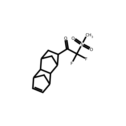 CS(=O)(=O)C(F)(F)C(=O)C1CC2CC1C1C3C=CC(C3)C21